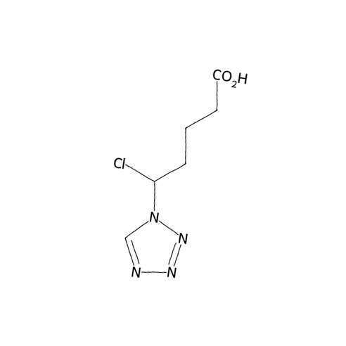 O=C(O)CCCC(Cl)n1cnnn1